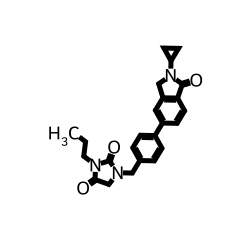 CCCN1C(=O)CN(Cc2ccc(-c3ccc4c(c3)CN(C3CC3)C4=O)cc2)C1=O